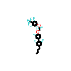 CCCCc1cc(F)c(-c2ccc(OCC(F)(F)Oc3cc(F)c(C(F)(F)F)c(F)c3)c(F)c2)c(F)c1